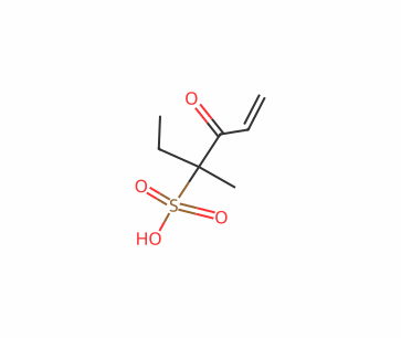 C=CC(=O)C(C)(CC)S(=O)(=O)O